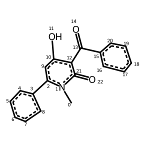 Cn1c(-c2ccccc2)cc(O)c(C(=O)c2ccccc2)c1=O